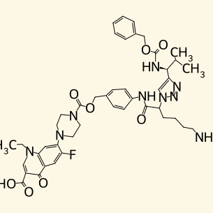 CCn1cc(C(=O)O)c(=O)c2cc(F)c(N3CCN(C(=O)OCc4ccc(NC(=O)C(CCCCN)n5cc([C@@H](NC(=O)OCc6ccccc6)C(C)C)nn5)cc4)CC3)cc21